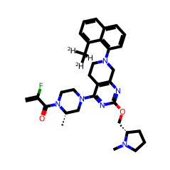 [2H]C([2H])([2H])c1cccc2cccc(N3CCc4c(nc(OC[C@@H]5CCCN5C)nc4N4CCN(C(=O)C(=C)F)[C@@H](C)C4)C3)c12